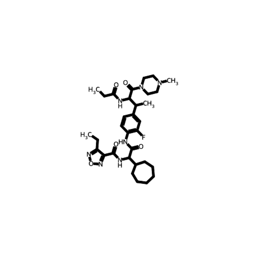 CCC(=O)NC(C(=O)N1CCN(C)CC1)C(C)c1ccc(NC(=O)C(NC(=O)c2nonc2CC)C2CCCCCC2)c(F)c1